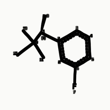 C[C@@H](c1cccc(F)c1)C(C)(C)C